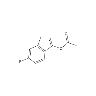 CC(=O)OC1=CCc2cc(F)ccc21